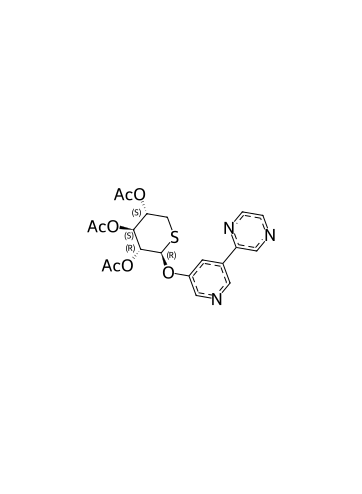 CC(=O)O[C@@H]1[C@@H](OC(C)=O)[C@H](OC(C)=O)CS[C@H]1Oc1cncc(-c2cnccn2)c1